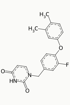 Cc1ccc(Oc2ccc(Cn3ccc(=O)[nH]c3=O)cc2F)cc1C